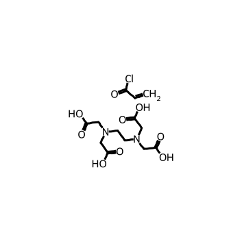 C=CC(=O)Cl.O=C(O)CN(CCN(CC(=O)O)CC(=O)O)CC(=O)O